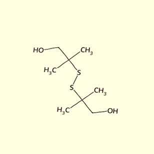 CC(C)(CO)SSC(C)(C)CO